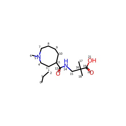 CCC[C@@H]1CN(C)CCCCC1C(=O)NCC(C)(C)C(=O)O